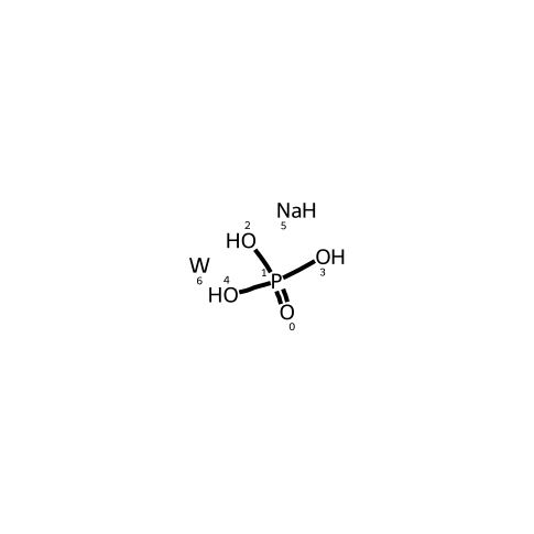 O=P(O)(O)O.[NaH].[W]